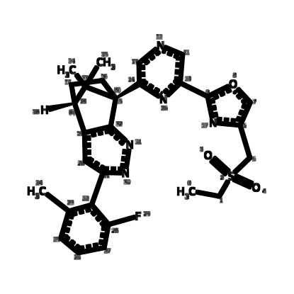 CCS(=O)(=O)Cc1coc(-c2cncc([C@@]34CC[C@@H](c5cc(-c6c(C)cccc6F)nnc53)C4(C)C)n2)n1